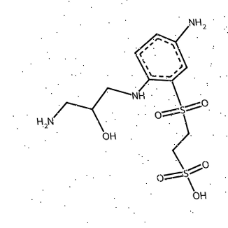 NCC(O)CNc1ccc(N)cc1S(=O)(=O)CCS(=O)(=O)O